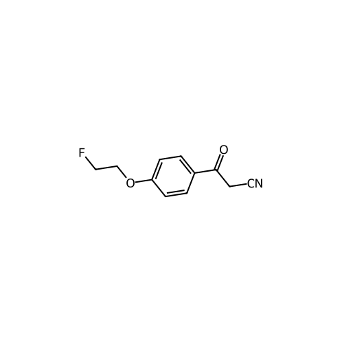 N#CCC(=O)c1ccc(OCCF)cc1